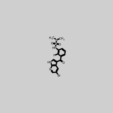 CN(C)S(=O)(=O)Nc1cccc(C(=O)c2c[nH]c3ncc(Br)cc23)c1F